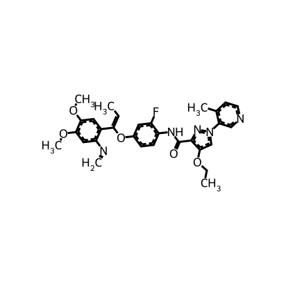 C=Nc1cc(OC)c(OC)cc1/C(=C\C)Oc1ccc(NC(=O)c2nn(-c3cnccc3C)cc2OCC)c(F)c1